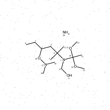 CCC(CC(C)(C)N(CO)C(C)(OC)OC)ON(C)C.N